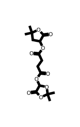 CC1(C)CC(OC(=O)CCC(=O)OC2OC(C)(C)OC2=O)C(=O)O1